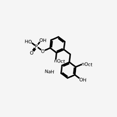 CCCCCCCCc1c(O)cccc1Cc1cccc(OP(=O)(O)O)c1CCCCCCCC.[NaH]